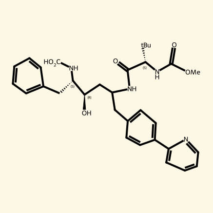 COC(=O)N[C@H](C(=O)NC(Cc1ccc(-c2ccccn2)cc1)C[C@@H](O)[C@H](Cc1ccccc1)NC(=O)O)C(C)(C)C